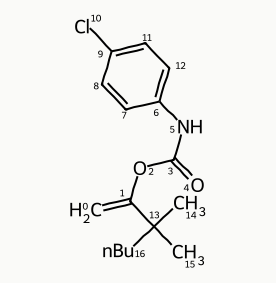 C=C(OC(=O)Nc1ccc(Cl)cc1)C(C)(C)CCCC